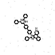 NC(/C=C(\NCc1ccccc1)c1ccc(-c2ccc(-n3c(-c4ccccc4)nc4c5ccccc5c5c(c43)CNC=C5)cc2)cc1)c1ccccc1